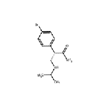 CC(C)NC[C@@H](C(N)=O)c1ccc(Br)cc1